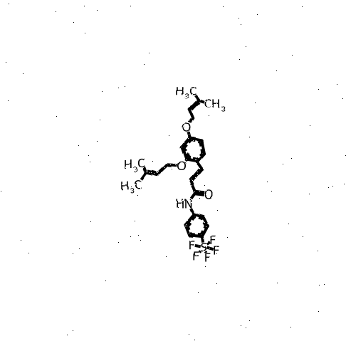 CC(C)=CCOc1ccc(/C=C/C(=O)Nc2ccc(S(F)(F)(F)(F)F)cc2)c(OCC=C(C)C)c1